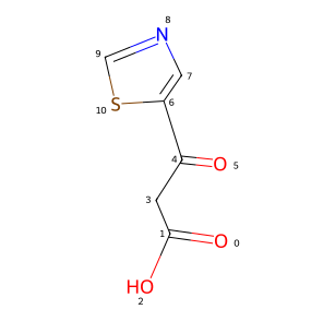 O=C(O)CC(=O)c1cncs1